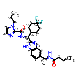 C[C@@H](NC(=O)CCC(F)(F)F)c1ccc2[nH]c([C@@H](NC(=O)c3nccn3CCC(F)(F)F)C3CCC(F)(F)CC3)nc2c1